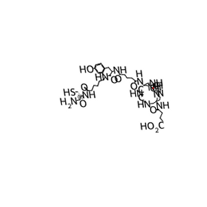 NC(=O)[C@H](CS)NC(=O)CCCCCNC(=O)C(Cc1ccc(O)cc1)NC(=O)CCCC(=O)N[C@]12CNCCNC[C@](NC(=O)CCCC(=O)O)(CNCCNC1)CNCCNC2